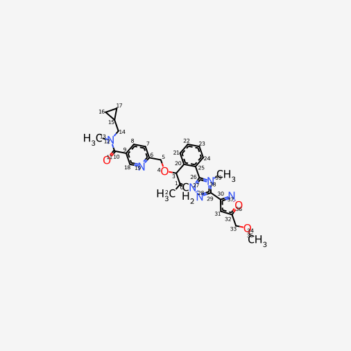 C=C(C)C(OCc1ccc(C(=O)N(C)CC2CC2)cn1)c1ccccc1-c1nnc(-c2cc(COC)on2)n1C